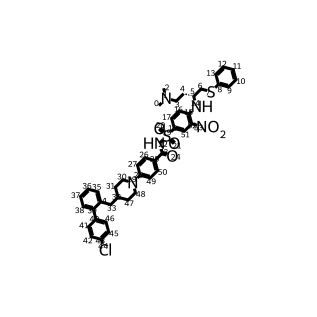 CN(C)CC[C@H](CSc1ccccc1)Nc1ccc(S(=O)(=O)NC(=O)c2ccc(N3CCC(Cc4ccccc4-c4ccc(Cl)cc4)CC3)cc2)cc1[N+](=O)[O-]